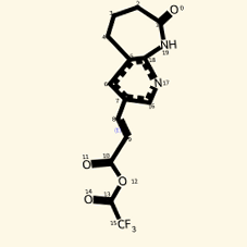 O=C1CCCc2cc(/C=C/C(=O)OC(=O)C(F)(F)F)cnc2N1